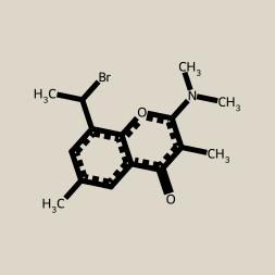 Cc1cc(C(C)Br)c2oc(N(C)C)c(C)c(=O)c2c1